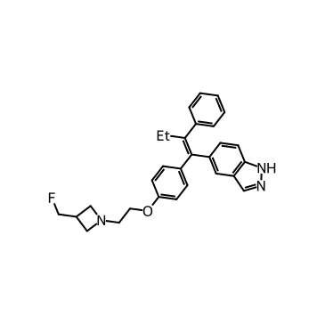 CCC(=C(c1ccc(OCCN2CC(CF)C2)cc1)c1ccc2[nH]ncc2c1)c1ccccc1